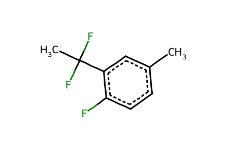 Cc1ccc(F)c(C(C)(F)F)c1